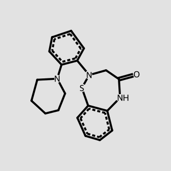 O=C1CN(c2ccccc2N2CCCCC2)Sc2ccccc2N1